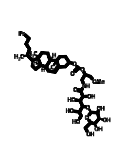 COCC(CNC(=O)C(O)C(O)C(O[C@@H]1OC(CO)[C@H](O)[C@H](O)C1O)C(O)CO)OC(=O)OC1CC[C@]2(C)C(=CC[C@@H]3[C@H]4CC[C@@H]([C@@H](C)CCCC(C)C)[C@]4(C)CC[C@H]32)C1